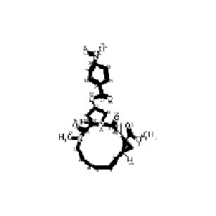 COC(=O)[C@@]12C[C@H]1C=CCCCCN(C)C(=O)[C@@H]1C[C@@H](OC(=O)c3ccc([N+](=O)[O-])cc3)CN1C(=O)N2